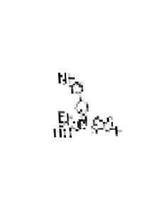 NCc1cccc(C2CCN(C(=O)c3cc4sc(F)cc4s3)CC2)c1.O=C(O)C(F)(F)F